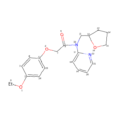 CCOc1ccc(OCC(=O)N(CC2CCCO2)c2ccccn2)cc1